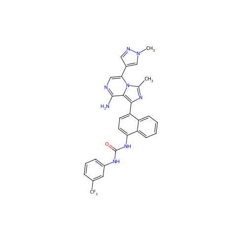 Cc1nc(-c2ccc(NC(=O)Nc3cccc(C(F)(F)F)c3)c3ccccc23)c2c(N)ncc(-c3cnn(C)c3)n12